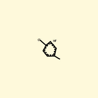 Cc1ccc(Cl)cc1.F